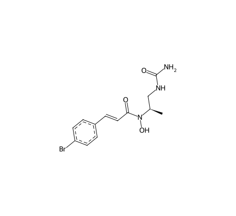 C[C@H](CNC(N)=O)N(O)C(=O)C=Cc1ccc(Br)cc1